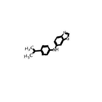 CC(C)c1ccc(Nc2ccc3ncsc3c2)cc1